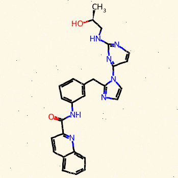 C[C@H](O)CNc1nccc(-n2ccnc2Cc2cccc(NC(=O)c3ccc4ccccc4n3)c2)n1